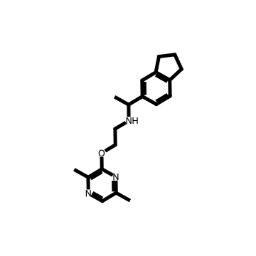 Cc1cnc(C)c(OCCNC(C)c2ccc3c(c2)CCC3)n1